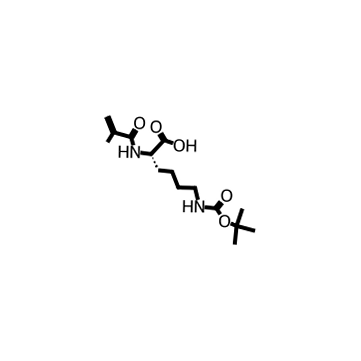 C=C(C)C(=O)N[C@@H](CCCCNC(=O)OC(C)(C)C)C(=O)O